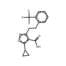 O=C(O)c1c(CCc2ccccc2C(F)(F)F)noc1C1CC1